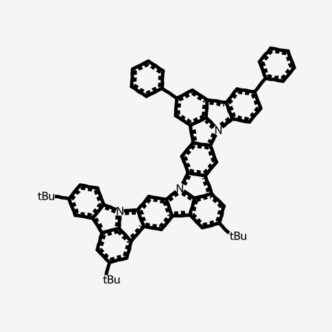 CC(C)(C)c1ccc2c(c1)c1cc(C(C)(C)C)cc3c4cc5c6cc(C(C)(C)C)cc7c8cc9c(cc8n(c5cc4n2c13)c76)c1cc(-c2ccccc2)cc2c3cc(-c4ccccc4)ccc3n9c21